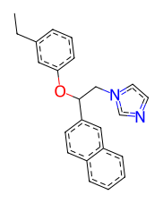 CCc1cccc(OC(Cn2ccnc2)c2ccc3ccccc3c2)c1